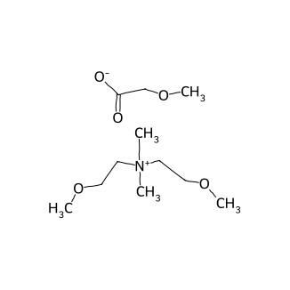 COCC(=O)[O-].COCC[N+](C)(C)CCOC